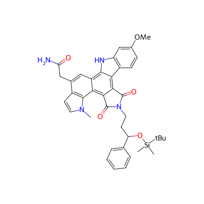 COc1ccc2c(c1)[nH]c1c3cc(CC(N)=O)c4ccn(C)c4c3c3c(c21)C(=O)N(CCC(O[Si](C)(C)C(C)(C)C)c1ccccc1)C3=O